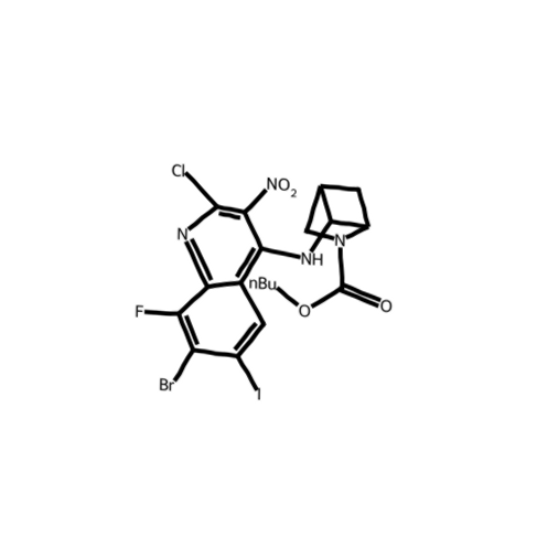 CCCCOC(=O)N1CC2CC1C2Nc1c([N+](=O)[O-])c(Cl)nc2c(F)c(Br)c(I)cc12